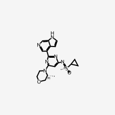 C[C@@H]1COCCN1c1cc(N=[S@](C)(=O)C2CC2)nc(-c2cncc3[nH]ccc23)n1